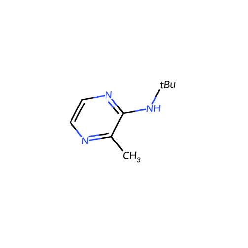 Cc1nccnc1NC(C)(C)C